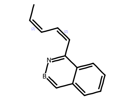 C/C=C\C=C/c1nbcc2ccccc12